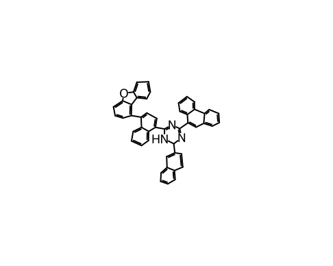 c1ccc2cc(C3N=C(c4cc5ccccc5c5ccccc45)N=C(c4ccc(-c5cccc6oc7ccccc7c56)c5ccccc45)N3)ccc2c1